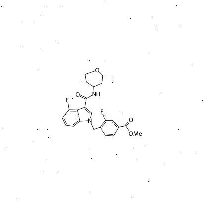 COC(=O)c1ccc(Cn2cc(C(=O)NC3CCOCC3)c3c(F)cccc32)c(F)c1